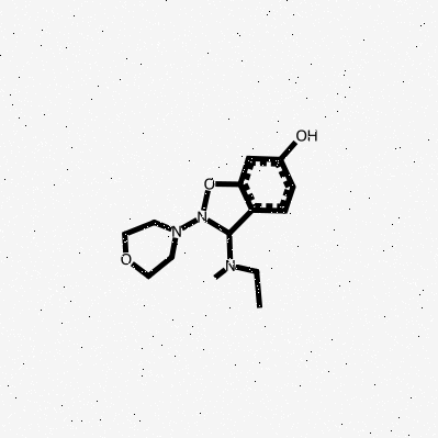 CCN(C)C1c2ccc(O)cc2ON1N1CCOCC1